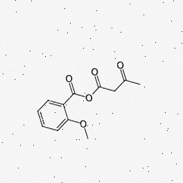 COc1ccccc1C(=O)OC(=O)CC(C)=O